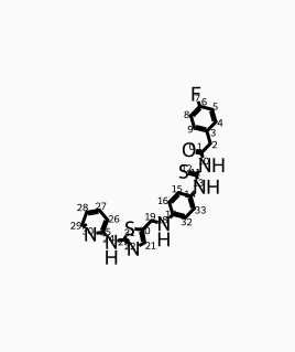 O=C(Cc1ccc(F)cc1)NC(=S)Nc1ccc(NCc2cnc(Nc3ccccn3)s2)cc1